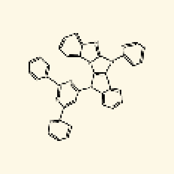 c1ccc(-c2cc(-n3c4ccccc4c4c3n3c5ccccc5nc3n4-c3ccccc3)nc(-c3ccccc3)n2)cc1